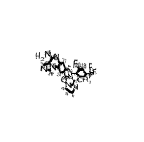 C[C@H](c1ncccn1)N(Cc1ccc(C(F)(F)F)cc1F)C(=O)c1cc2c(cc1F)nc(N)c1cncn12